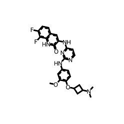 COc1cc(Nc2nccc(Nc3cc4ccc(F)c(F)c4[nH]c3=O)n2)ccc1OC1CC(N(C)C)C1